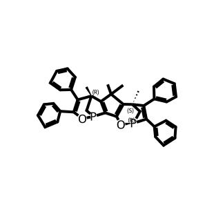 CC1(C)C2=C(O[P@@]3C[C@]2(C)C(c2ccccc2)=C3c2ccccc2)C2=C1[C@]1(C)CP2OC(c2ccccc2)=C1c1ccccc1